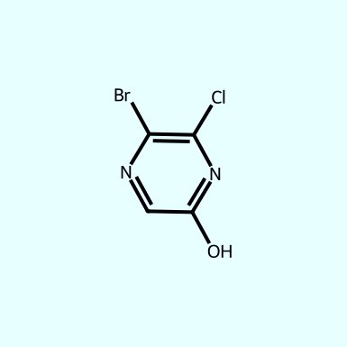 Oc1cnc(Br)c(Cl)n1